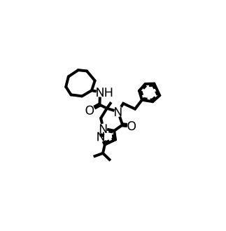 CC(C)c1cc2n(n1)CC(C)(C(=O)NC1CCCCCCC1)N(CCc1ccccc1)C2=O